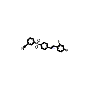 N#Cc1cccc(S(=O)(=O)c2ccc(/C=C/c3ccc(F)cc3F)cc2)c1